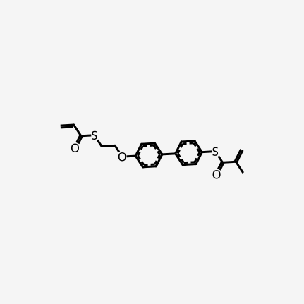 C=CC(=O)SCCOc1ccc(-c2ccc(SC(=O)C(=C)C)cc2)cc1